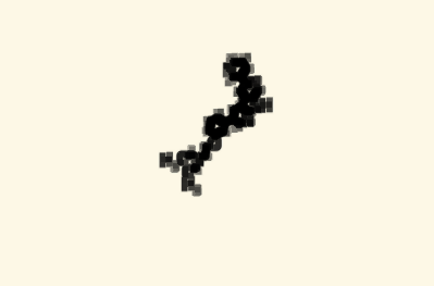 CCN(CC)CCOc1cccc(-c2cnc3[nH]c4cnc(-c5cccnc5)cc4c3c2)c1